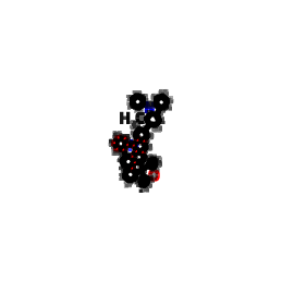 CC1C(c2ccc(N(c3ccc4c(c3)-c3ccccc3C43c4ccccc4Oc4ccccc43)c3ccccc3-c3ccccc3-c3ccccc3-c3ccccc3)cc2)=CC=C2c3ccccc3N(c3ccccc3)C21